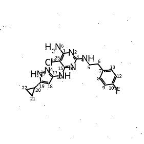 Nc1nc(NCCc2ccc(F)cc2)nc(Nc2cc(C3CC3)[nH]n2)c1Cl